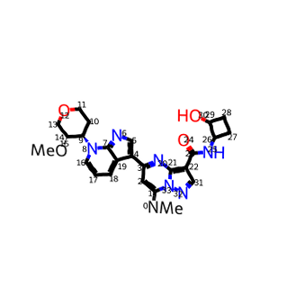 CNc1cc(-c2cnc3n([C@@H]4CCOC[C@H]4OC)cccc2-3)nc2c(C(=O)NC3CCC3O)cnn12